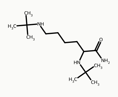 CC(C)(C)NCCCCC(NC(C)(C)C)C(N)=O